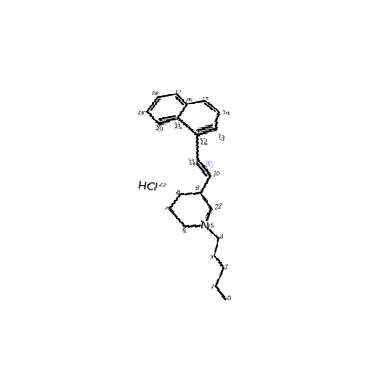 CCCCCN1CCCC(/C=C/c2cccc3ccccc23)C1.Cl